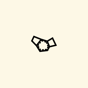 [c]1cc2c(c3c1CC3)CC2